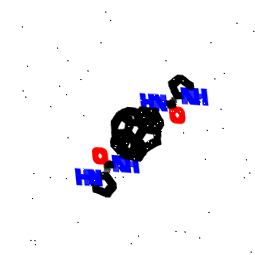 O=C(Nc1ccc(-c2cc3ccc2CCc2ccc(c(-c4ccc(NC(=O)[C@@H]5CCCN5)cc4)c2)CC3)cc1)[C@@H]1CCCN1